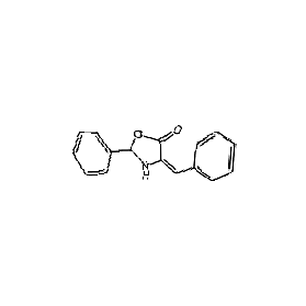 O=C1OC(c2ccccc2)N/C1=C/c1ccccc1